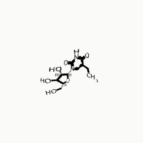 CCc1cn([C@@H]2O[C@H](CO)C(O)[C@@H]2O)c(=O)[nH]c1=O